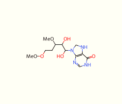 COOCCC(OC)C(O)C(O)N1CNc2c1nc[nH]c2=O